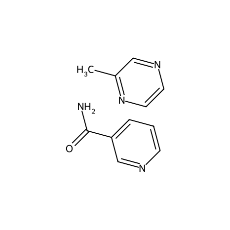 Cc1cnccn1.NC(=O)c1cccnc1